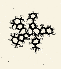 Cc1ccccc1-c1cc2c3c(c1)N(c1cc4c(cc1C)C(C)(C)CCC4(C)C)c1c(sc4cc5c(cc14)C(C)(C)CCC5(C)C)B3N(c1ccc(C(C)(C)C)cc1)c1cc3ccccc3cc1-2